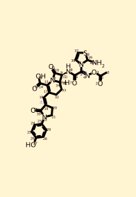 CC(=O)O/N=C(/C(=O)N[C@@H]1C(=O)N2C(C(=O)O)=C(/C=C3\CCN(c4ccc(O)cc4)C3=O)CC[C@H]12)N1C=CSC1N